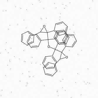 c1ccc(C2OC2(c2ccccc2)C(OC(c2ccccc2)(c2ccccc2)C2(c3ccccc3)OC2c2ccccc2)(c2ccccc2)c2ccccc2)cc1